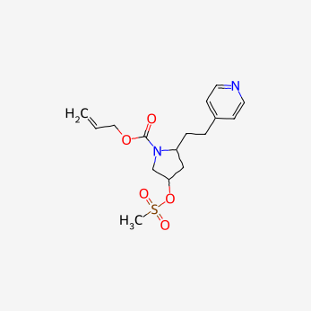 C=CCOC(=O)N1CC(OS(C)(=O)=O)CC1CCc1ccncc1